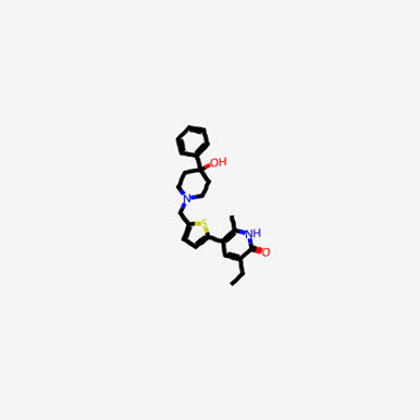 CCc1cc(-c2ccc(CN3CCC(O)(c4ccccc4)CC3)s2)c(C)[nH]c1=O